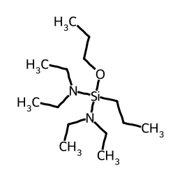 CCCO[Si](CCC)(N(CC)CC)N(CC)CC